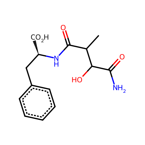 CC(C(=O)N[C@@H](Cc1ccccc1)C(=O)O)C(O)C(N)=O